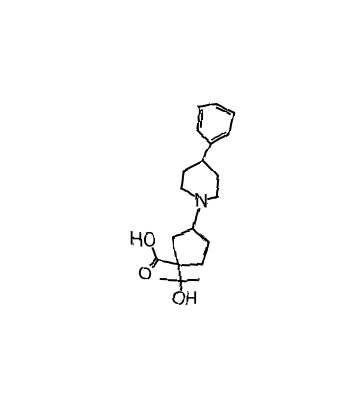 CC(C)(O)C1(C(=O)O)CCC(N2CCC(c3ccccc3)CC2)C1